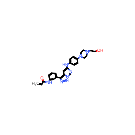 C=CC(=O)Nc1cccc(-c2nnn3cnc(Nc4ccc(N5CCN(CCO)CC5)cc4)cc23)c1